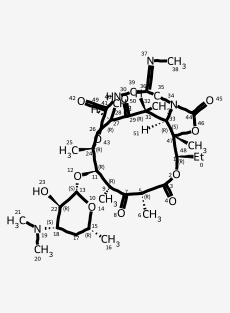 CC[C@H]1OC(=O)[C@H](C)C(=O)[C@H](C)[C@@H](O[C@@H]2O[C@H](C)C[C@H](N(C)C)[C@H]2O)[C@@]2(C)C[C@@H](C)C(=O)[C@H](C)[C@H]3N(CC(=NC)CNC(=O)O2)C(=O)O[C@]13C